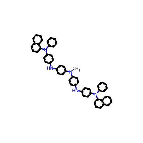 CN(c1ccc(Nc2ccc(N(c3ccccc3)c3cccc4ccccc34)cc2)cc1)c1ccc(Nc2ccc(N(c3ccccc3)c3cccc4ccccc34)cc2)cc1